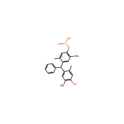 Cc1cc(O)c(C(C)(C)C)cc1C(c1ccccc1)c1cc(C(C)(C)C)c(OP(O)O)cc1C